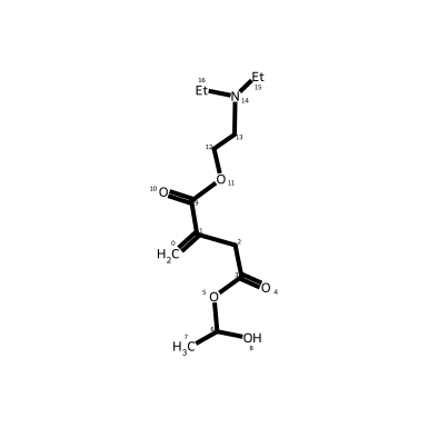 C=C(CC(=O)OC(C)O)C(=O)OCCN(CC)CC